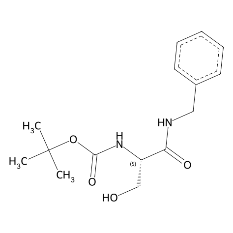 CC(C)(C)OC(=O)N[C@@H](CO)C(=O)NCc1ccccc1